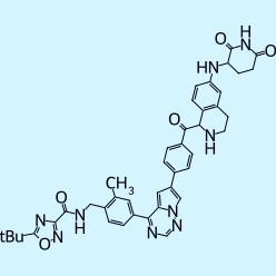 Cc1cc(-c2ncnn3cc(-c4ccc(C(=O)C5NCCc6cc(NC7CCC(=O)NC7=O)ccc65)cc4)cc23)ccc1CNC(=O)c1noc(C(C)(C)C)n1